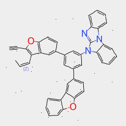 C#Cc1oc2ccc(-c3cc(-c4ccc5oc6ccccc6c5c4)cc(-n4c5ccccc5n5c6ccccc6nc45)c3)cc2c1/C=C\C